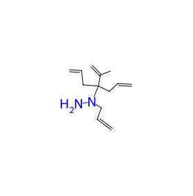 C=CCN(N)C(CC=C)(CC=C)C(=C)C